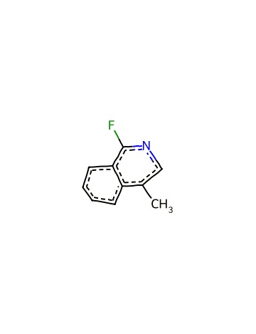 Cc1cnc(F)c2ccccc12